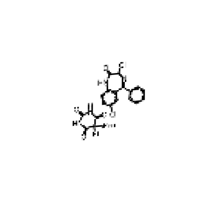 CCCC(C)C1(CC)C(=O)NC(=O)NC1=O.O=C1Nc2ccc(Cl)cc2C(c2ccccc2)=NC1O